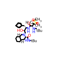 CC(C)(C)CN[C@H](C(=O)N[C@@H](Cc1ccccc1)[C@H](O)CN1C[C@H]2CCCC[C@H]2C[C@H]1C(=O)NC(C)(C)C)C(C)(C)S(C)(=O)=O